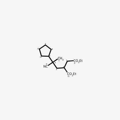 CCOC(=O)CC(CC(C)(C#N)C1CCCC1)C(=O)OCC